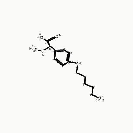 CCCCCCOc1ccc(C(OC)C(=O)O)cc1